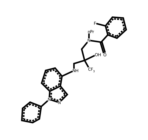 CCCN(CC(O)(CNc1cccc2c1cnn2-c1ccccc1)C(F)(F)F)C(=O)c1ccccc1F